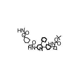 CNC(=O)O[C@H]1CC[C@H](C(C)C(=O)Nc2cnc(-c3ccc(C4(NC(=O)OC(C)(C)C)CCC4)cc3)c(-c3ccccc3)c2)CC1